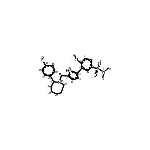 COc1ccc(S(=O)(=O)N(C)C)cc1-c1ccc(CN2CCCCCC2c2ccc(F)cc2)[nH]1